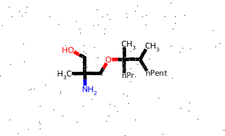 CCCCCC(C)C(C)(CCC)OCC(C)(N)CO